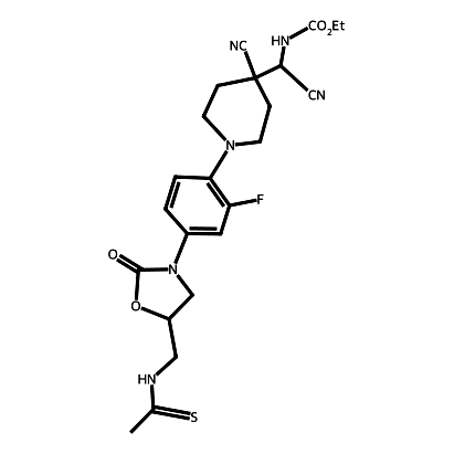 CCOC(=O)NC(C#N)C1(C#N)CCN(c2ccc(N3CC(CNC(C)=S)OC3=O)cc2F)CC1